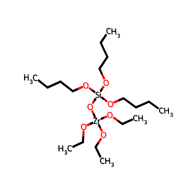 CCCCO[Si](OCCCC)(OCCCC)[O][Zr]([O]CC)([O]CC)[O]CC